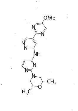 COc1cnc(-c2cnnc(Nc3ccnc(N4C[C@@H](C)O[C@@H](C)C4)n3)c2)nc1